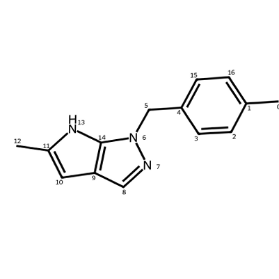 Cc1ccc(Cn2ncc3cc(C)[nH]c32)cc1